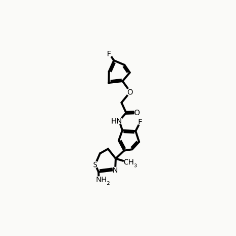 CC1(c2ccc(F)c(NC(=O)COc3ccc(F)cc3)c2)CCSC(N)=N1